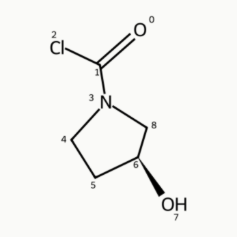 O=C(Cl)N1CC[C@H](O)C1